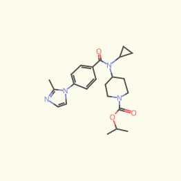 Cc1nccn1-c1ccc(C(=O)N(C2CC2)C2CCN(C(=O)OC(C)C)CC2)cc1